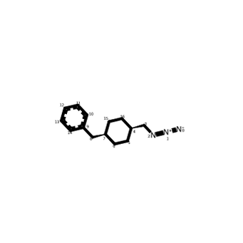 [N-]=[N+]=NC[C@H]1CC[C@@H](Cc2ccccc2)CC1